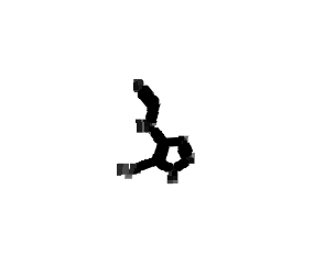 Nc1[nH]nnc1NC=O